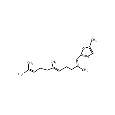 CC(C)=CCC/C(C)=C/CC/C(C)=C/c1ncc(C)o1